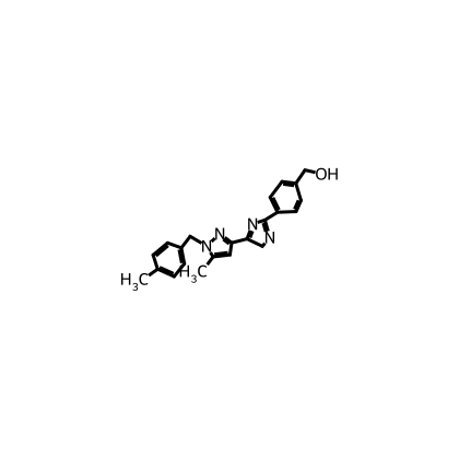 Cc1ccc(Cn2nc(C3=NC(c4ccc(CO)cc4)=NC3)cc2C)cc1